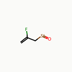 C=C(F)C[S+]=O